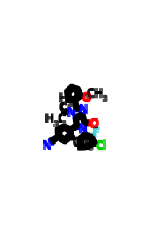 COc1ccccc1-c1nc2c(n1C(C)C)C(c1ccc(C#N)cc1C)N(c1cccc(Cl)c1F)C2=O